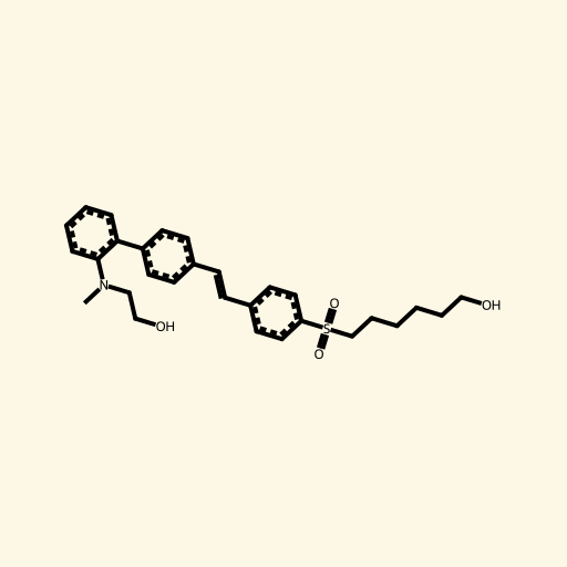 CN(CCO)c1ccccc1-c1ccc(C=Cc2ccc(S(=O)(=O)CCCCCCO)cc2)cc1